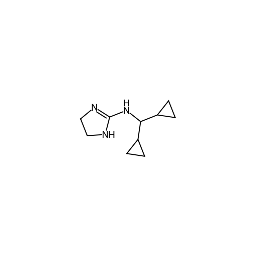 C1CNC(NC(C2CC2)C2CC2)=N1